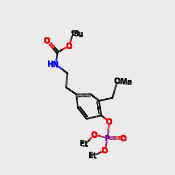 CCOP(=O)(OCC)Oc1ccc(CCNC(=O)OC(C)(C)C)cc1COC